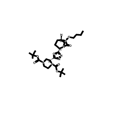 CCCCON1C(=O)N2C[C@@H]1CC[C@H]2c1nnc([C@H]2CN(C(=O)OC(C)(C)C)CCN2C(=O)OC(C)(C)C)o1